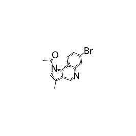 CC(=O)n1cc(C)c2cnc3cc(Br)ccc3c21